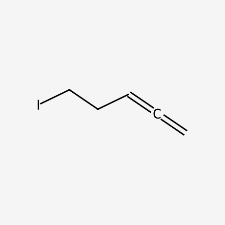 C=C=CCCI